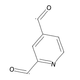 O=[C]c1ccnc([C]=O)c1